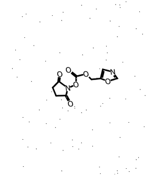 O=C(OCc1cnco1)ON1C(=O)CCC1=O